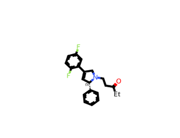 CCC(=O)CCN1CC(c2cc(F)ccc2F)=C[C@H]1c1ccccc1